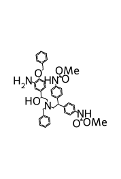 COC(=O)Nc1ccc(C(CN(Cc2ccccc2)C[C@H](O)c2ccc(OCc3ccccc3)c(N)c2)c2ccc(NC(=O)OC)cc2)cc1